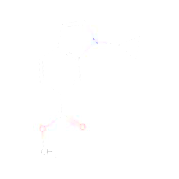 COC(=O)c1ccc2ccn(C3CC3)c2c1